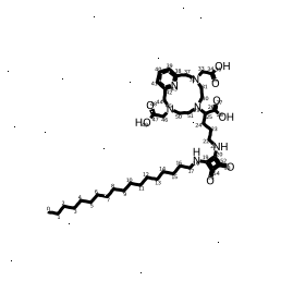 CCCCCCCCCCCCCCCCCCNc1c(NCCCC(C(=O)O)N2CCN(CC(=O)O)Cc3cccc(n3)CN(CC(=O)O)CC2)c(=O)c1=O